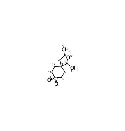 CCCC1(C(=O)O)CCS(=O)(=O)CC1